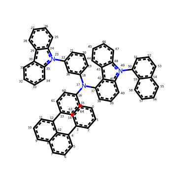 c1ccc(-c2cccc3cccc(-c4ccc(N(c5cccc(-n6c7ccccc7c7ccccc76)c5)c5cccc6c5c5ccccc5n6-c5cccc6ccccc56)cc4)c23)cc1